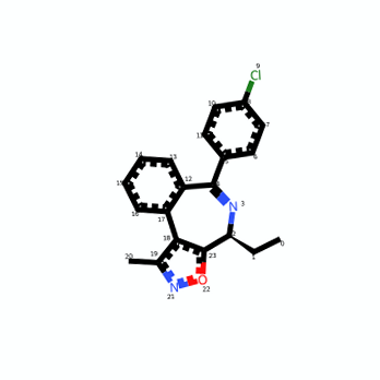 CC[C@@H]1N=C(c2ccc(Cl)cc2)c2ccccc2-c2c(C)noc21